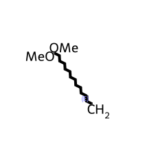 C=C/C=C/CCCCCCCCCCC(OC)OC